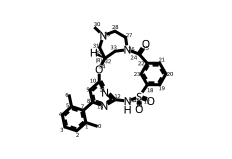 Cc1cccc(C)c1-c1cc2nc(n1)NS(=O)(=O)c1cccc(c1)C(=O)N1CCN(C)C[C@H](C1)O2